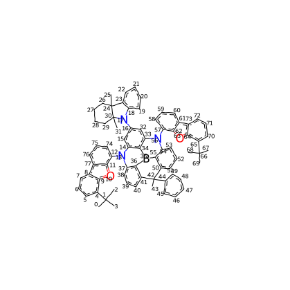 CC(C)(C)c1cccc2c1oc1c(N3c4cc(N5c6ccccc6C6(C)CCCCC56C)cc5c4B4c6c3cccc6C(C)(c3ccccc3)c3cccc(c34)N5c3cccc4c3oc3c(C(C)(C)C)cccc34)cccc12